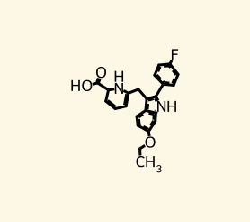 CCOc1ccc2c(CC3=CC=CC(C(=O)O)N3)c(-c3ccc(F)cc3)[nH]c2c1